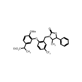 CCOC(=O)C(C)c1ccc(OC)c(Oc2ccc(C(F)(F)F)cc2CN2C(=O)OC(c3ccccc3)C2C)c1